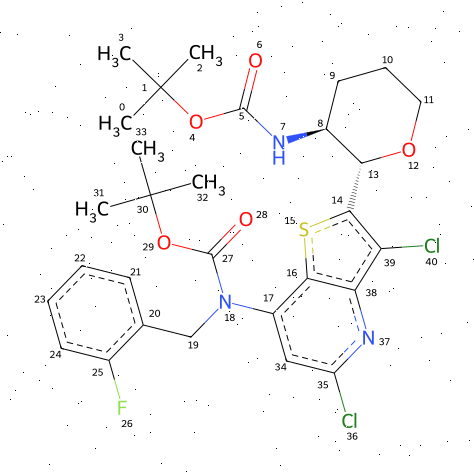 CC(C)(C)OC(=O)N[C@H]1CCCO[C@@H]1c1sc2c(N(Cc3ccccc3F)C(=O)OC(C)(C)C)cc(Cl)nc2c1Cl